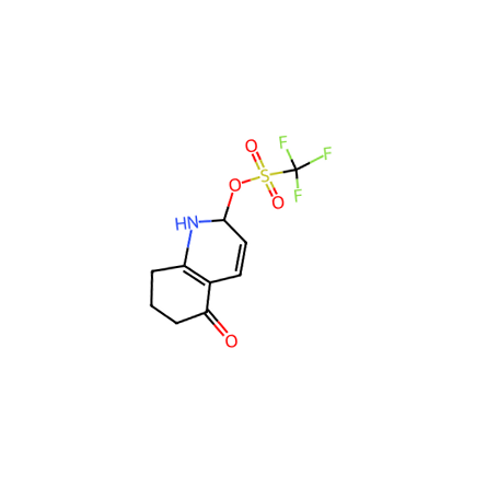 O=C1CCCC2=C1C=CC(OS(=O)(=O)C(F)(F)F)N2